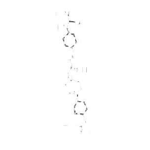 CC(C)Cc1ccc(N2CCN(C[C@@H](O)COc3ccc(NC(N)=O)cc3)CC2)cc1